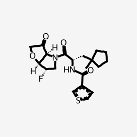 CC1(C[C@H](NC(=O)c2ccsc2)C(=O)N2C[C@H](F)[C@H]3OCC(=O)[C@H]32)CCCC1